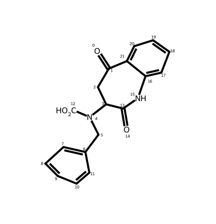 O=C1CC(N(Cc2ccccc2)C(=O)O)C(=O)Nc2ccccc21